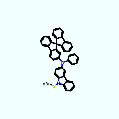 CCCCSn1c2ccccc2c2cc(N(c3ccccc3)c3ccc4c(c3)C3(c5ccccc5-c5ccccc53)c3ccccc3-4)ccc21